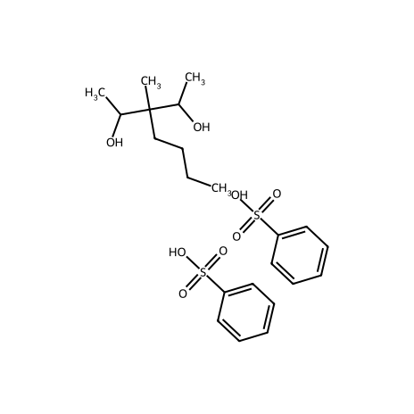 CCCCC(C)(C(C)O)C(C)O.O=S(=O)(O)c1ccccc1.O=S(=O)(O)c1ccccc1